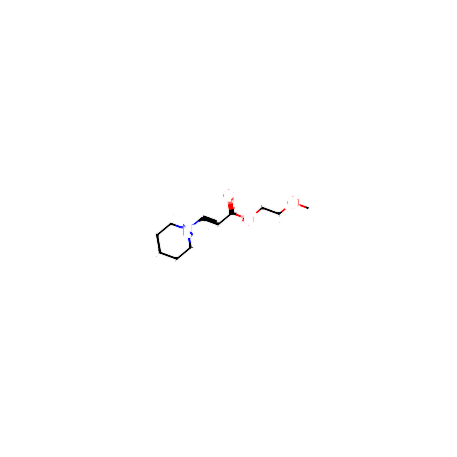 COCCOC(=O)/C=C/N1CCCCC1